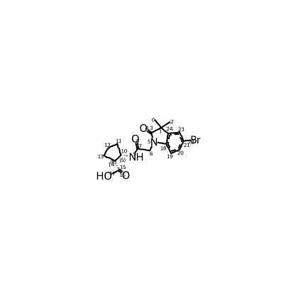 CC1(C)C(=O)N(CC(=O)N[C@H]2CCC[C@H]2C(=O)O)c2ccc(Br)cc21